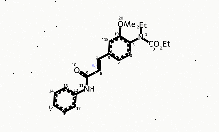 CCOC(=O)N(CC)c1ccc(/C=C/C(=O)Nc2ccccc2)cc1OC